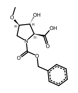 CO[C@@H]1CN(C(=O)OCc2ccccc2)[C@H](C(=O)O)[C@H]1O